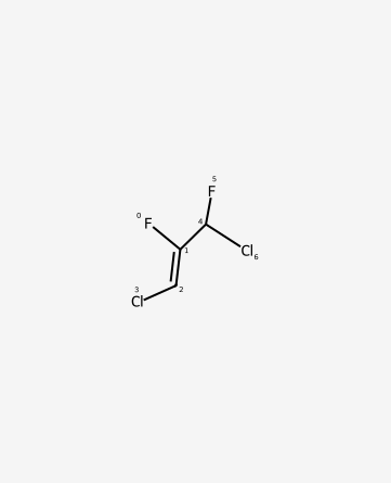 FC(=CCl)C(F)Cl